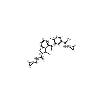 CC1=C2C(Nc3cc(C(=O)NC4CC4)ccc3C)=NC=NN2CC1C(=O)NCC1CC1